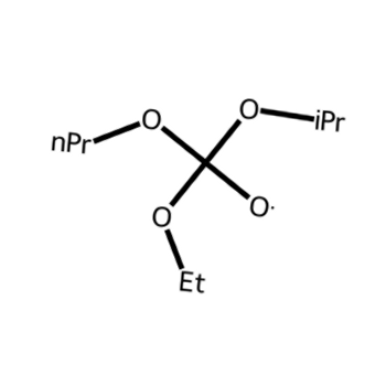 CCCOC([O])(OCC)OC(C)C